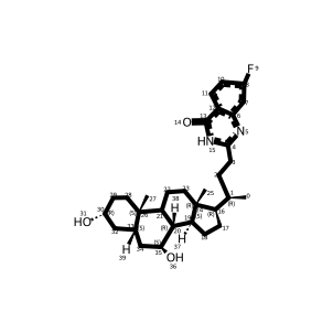 C[C@H](CCc1nc2cc(F)ccc2c(=O)[nH]1)[C@H]1CC[C@H]2[C@H]3C(CC[C@]12C)[C@@]1(C)CC[C@@H](O)C[C@H]1C[C@@H]3O